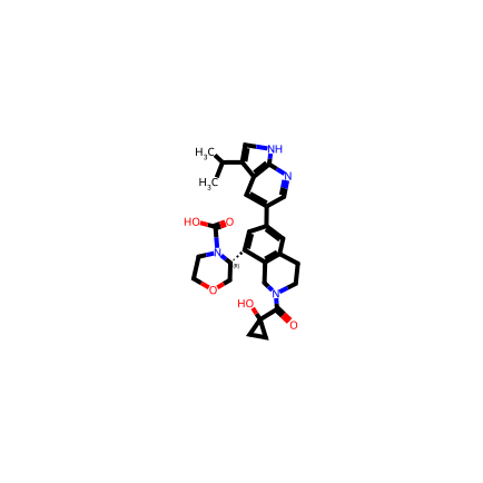 CC(C)c1c[nH]c2ncc(-c3cc4c(c([C@@H]5COCCN5C(=O)O)c3)CN(C(=O)C3(O)CC3)CC4)cc12